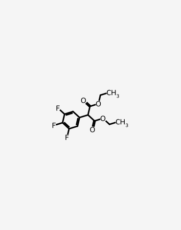 CCOC(=O)C(C(=O)OCC)c1cc(F)c(F)c(F)c1